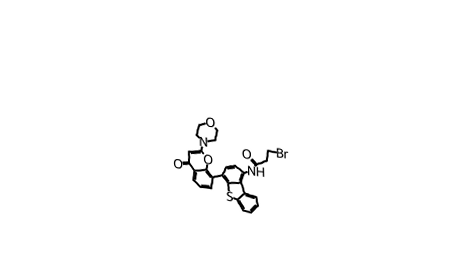 O=C(CCBr)Nc1ccc(-c2cccc3c(=O)cc(N4CCOCC4)oc23)c2sc3ccccc3c12